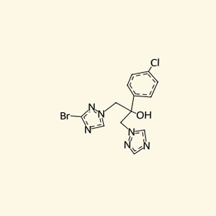 OC(Cn1cncn1)(Cn1cnc(Br)n1)c1ccc(Cl)cc1